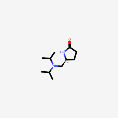 CC(C)N(C[C@@H]1CCC(=O)N1)C(C)C